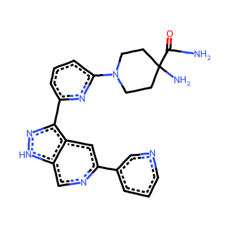 NC(=O)C1(N)CCN(c2cccc(-c3n[nH]c4cnc(-c5cccnc5)cc34)n2)CC1